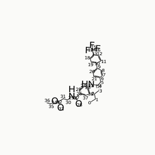 CCCC[C@@H](Cc1ccc(-c2ccc(C(F)(F)F)cc2)cc1)Nc1ccc(C(=O)NCCC(=O)OCC)cc1